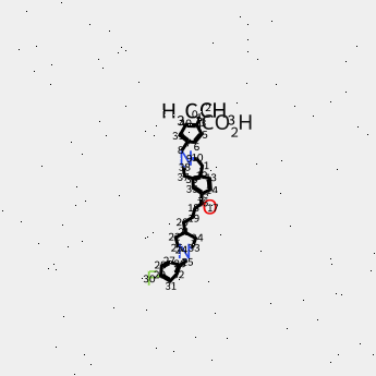 CC(C)(C(=O)O)c1ccc(CN2CCc3ccc(C(=O)CCCC4CCN(Cc5ccc(F)cc5)CC4)cc3CC2)cc1